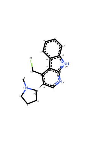 CN1CCC[C@H]1c1cnc2[nH]c3ccccc3c2c1CF